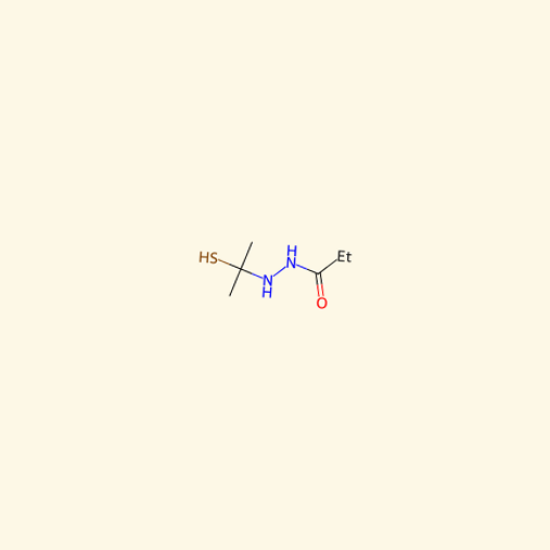 CCC(=O)NNC(C)(C)S